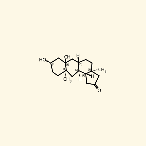 C[C@@]12CC[C@H]3C[C@@]4(C)C[C@H](O)CC[C@]4(C)C[C@@H]3[C@H]1CC(=O)C2